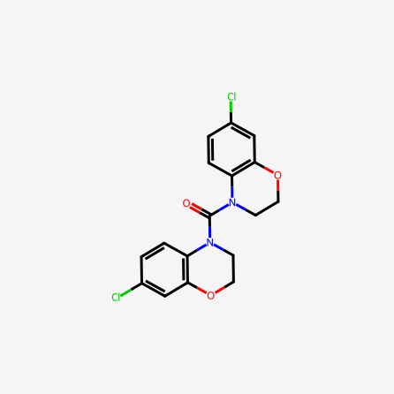 O=C(N1CCOc2cc(Cl)ccc21)N1CCOc2cc(Cl)ccc21